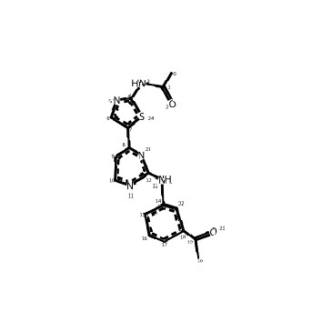 CC(=O)Nc1ncc(-c2ccnc(Nc3cccc(C(C)=O)c3)n2)s1